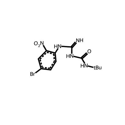 CC(C)(C)NC(=O)NC(=N)Nc1ccc(Br)cc1[N+](=O)[O-]